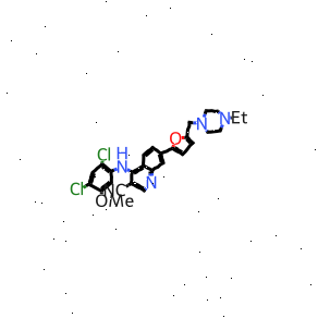 CCN1CCN(Cc2ccc(-c3ccc4c(Nc5cc(OC)c(Cl)cc5Cl)c(C#N)cnc4c3)o2)CC1